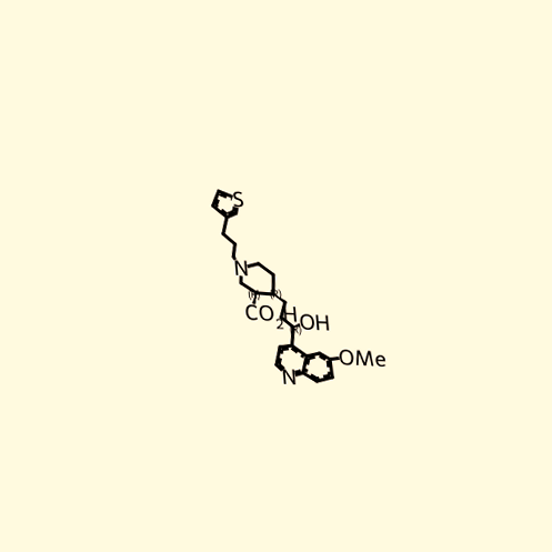 COc1ccc2nccc([C@H](O)CC[C@@H]3CCN(CCCc4ccsc4)C[C@@H]3C(=O)O)c2c1